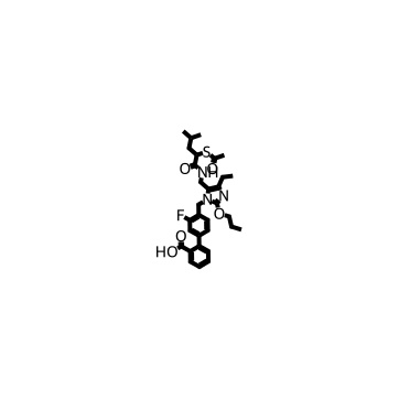 CCCOc1nc(CC)c(CNC(=O)C(CC(C)C)SC(C)=O)n1Cc1ccc(-c2ccccc2C(=O)O)cc1F